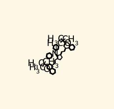 CC(C)(C)C1=C/C(=C\C=C2/CCC(/C=C/c3cc(C(C)(C)C)[o+]c4ccccc34)=C2N(c2ccccc2)c2ccccc2)c2ccccc2O1